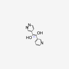 O/C(=C(/O)c1ccnnc1)c1cccnc1